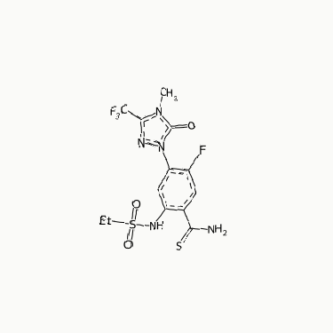 CCS(=O)(=O)Nc1cc(-n2nc(C(F)(F)F)n(C)c2=O)c(F)cc1C(N)=S